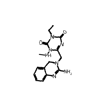 CCn1c(=O)nc(CN2Cc3ccccc3N=C2N)n(PC)c1=O